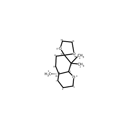 CC1(C)C2OCCC[C@@]2(C)CCC12OCCO2